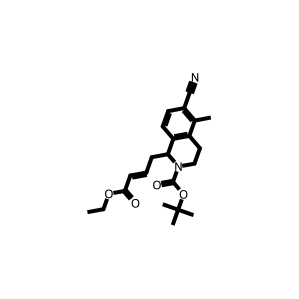 CCOC(=O)C=CCC1c2ccc(C#N)c(C)c2CCN1C(=O)OC(C)(C)C